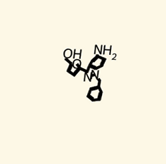 Nc1ccc2c(c1)c(-c1ccc(CO)o1)nn2Cc1ccccc1